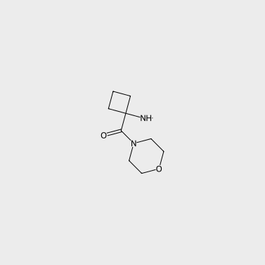 [NH]C1(C(=O)N2CCOCC2)CCC1